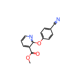 COC(=O)c1cccnc1Oc1ccc(C#N)cc1